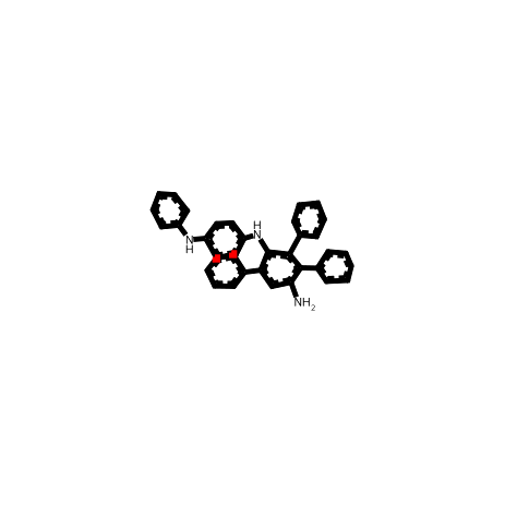 Nc1cc(-c2ccccc2)c(Nc2ccc(Nc3ccccc3)cc2)c(-c2ccccc2)c1-c1ccccc1